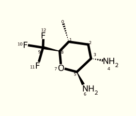 C[C@@H]1C[C@H](N)[C@@H](N)O[C@H]1C(F)(F)F